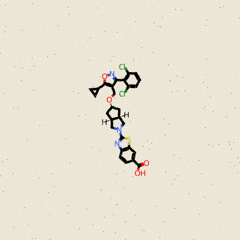 O=C(O)c1ccc2nc(N3C[C@H]4C[C@H](OCc5c(-c6c(Cl)cccc6Cl)noc5C5CC5)C[C@H]4C3)sc2c1